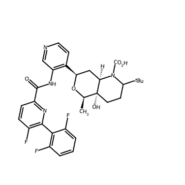 C[C@H]1O[C@@H](c2ccncc2NC(=O)c2ccc(F)c(-c3c(F)cccc3F)n2)C[C@H]2N(C(=O)O)C(C(C)(C)C)CC[C@@]12O